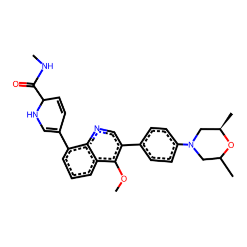 CNC(=O)C1C=CC(c2cccc3c(OC)c(-c4ccc(N5CC(C)O[C@H](C)C5)cc4)cnc23)=CN1